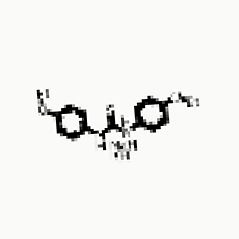 CCOc1ccc(NC(=S)Nc2ccc(OCC)cc2)cc1.[KH].[NaH]